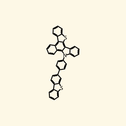 c1ccc2c(c1)sc1cc(-c3ccc(-n4c5ccccc5c5c6sc7ccccc7c6c6ccccc6c54)cc3)ccc12